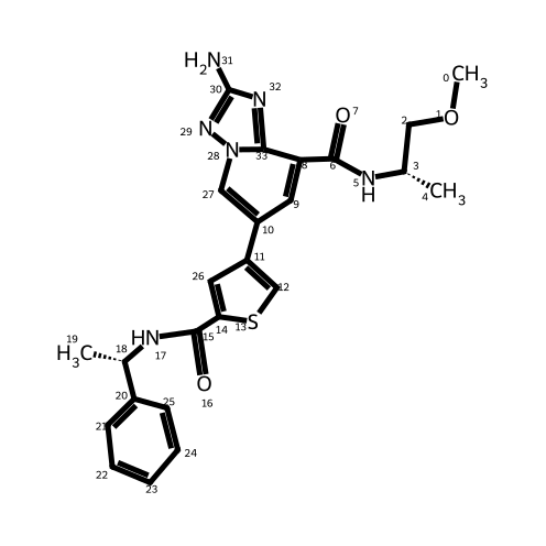 COC[C@H](C)NC(=O)c1cc(-c2csc(C(=O)N[C@@H](C)c3ccccc3)c2)cn2nc(N)nc12